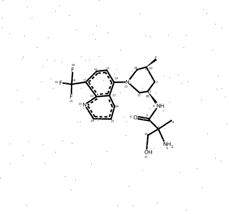 C[C@H]1C[C@@H](NC(=O)C(C)(N)CO)CN(c2ccc(C(F)(F)F)c3ncccc23)C1